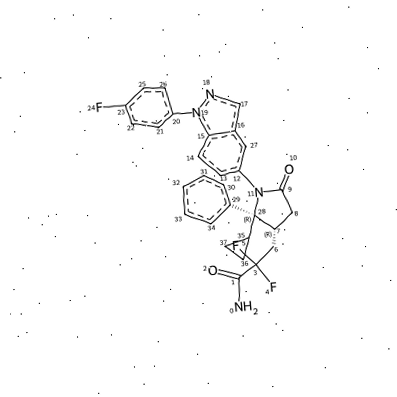 NC(=O)C(F)(F)C[C@H]1CC(=O)N(c2ccc3c(cnn3-c3ccc(F)cc3)c2)[C@]1(c1ccccc1)C1CC1